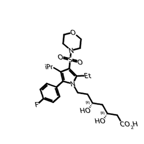 CCc1c(S(=O)(=O)N2CCOCC2)c(C(C)C)c(-c2ccc(F)cc2)n1CC[C@@H](O)C[C@@H](O)CC(=O)O